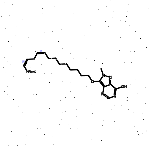 CCCCC/C=C\C/C=C\CCCCCCCCOc1c2ncnc(O)c2nn1C